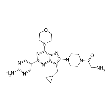 NCC(=O)N1CCN(c2nc3c(N4CCOCC4)nc(-c4cnc(N)nc4)nc3n2CC2CC2)CC1